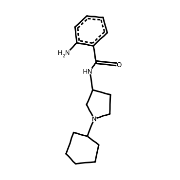 Nc1ccccc1C(=O)NC1CCN(C2CCCCC2)C1